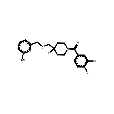 COc1cccc(CNCC2(F)CCN(C(=O)c3ccc(Cl)c(Cl)c3)CC2)n1